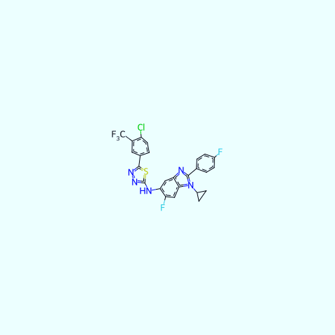 Fc1ccc(-c2nc3cc(Nc4nnc(-c5ccc(Cl)c(C(F)(F)F)c5)s4)c(F)cc3n2C2CC2)cc1